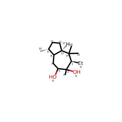 CC[C@H]1C(C)(O)C(O)CC2[C@H](C)CC[C@H]2C1(C)C